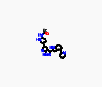 CCC(=O)NC1=CC=C(c2cnc3[nH]nc(-c4cc5c(-c6ccccn6)cccc5[nH]4)c3c2)CN1